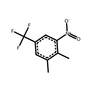 Cc1cc(C(F)(F)F)cc([N+](=O)[O-])c1C